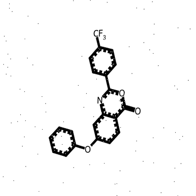 O=c1oc(-c2ccc(C(F)(F)F)cc2)nc2cc(Oc3ccccc3)ccc12